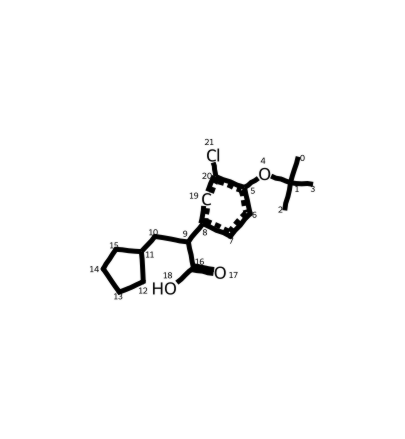 CC(C)(C)Oc1ccc(C(CC2CCCC2)C(=O)O)cc1Cl